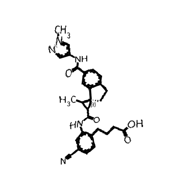 CC1C(C(=O)Nc2cc(C#N)ccc2CCCC(=O)O)[C@@]12CCc1ccc(C(=O)Nc3cnn(C)c3)cc12